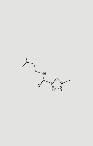 [CH2]c1cc(C(=O)NCCN(C)C)no1